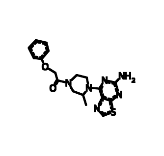 CC1CN(C(=O)COc2ccccc2)CCN1c1nc(N)nc2scnc12